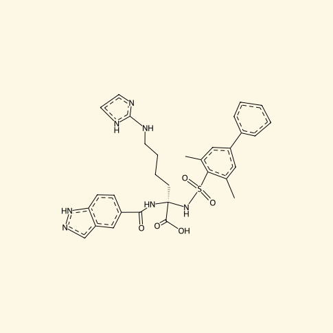 Cc1cc(-c2ccccc2)cc(C)c1S(=O)(=O)N[C@](CCCCNc1ncc[nH]1)(NC(=O)c1ccc2[nH]ncc2c1)C(=O)O